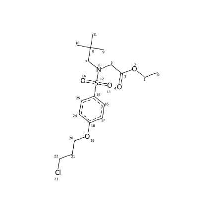 CCOC(=O)CN(CC(C)(C)C)S(=O)(=O)c1ccc(OCCCCl)cc1